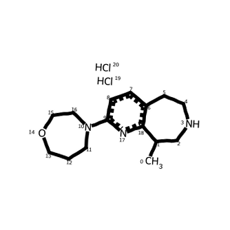 CC1CNCCc2ccc(N3CCCOCC3)nc21.Cl.Cl